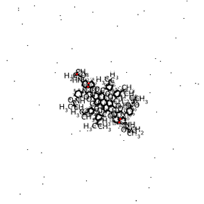 C=C(C)C(=O)NC1CCCC(N(C(=O)C(c2ccccc2)N2C(=O)c3cc(Oc4ccc(C(C)C)cc4C)c4c5c(Oc6ccc(C(C)C)cc6C)cc6c7c(cc(Oc8ccc(C(C)C)cc8C)c(c8c(Oc9ccc(C(C)C)cc9C)cc(c3c48)C2=O)c75)C(=O)N(C(C(=O)N(C2CCCC(NC(=O)C(=C)C)C2)C2CCCC(NC(=O)C(=C)C)C2)c2ccccc2)C6=O)C2CCCC(NC(=O)C(=C)C)C2)C1